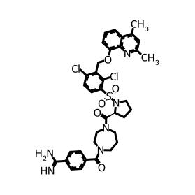 Cc1cc(C)c2cccc(OCc3c(Cl)ccc(S(=O)(=O)N4CCC[C@H]4C(=O)N4CCCN(C(=O)c5ccc(C(=N)N)cc5)CC4)c3Cl)c2n1